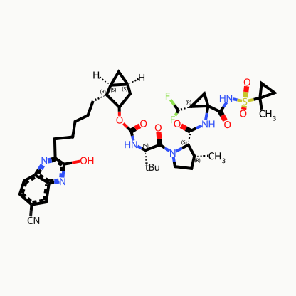 C[C@@H]1CCN(C(=O)[C@@H](NC(=O)OC2C[C@@H]3C[C@@H]3[C@H]2CCCCCc2nc3ccc(C#N)cc3nc2O)C(C)(C)C)[C@@H]1C(=O)NC1(C(=O)NS(=O)(=O)C2(C)CC2)C[C@H]1C(F)F